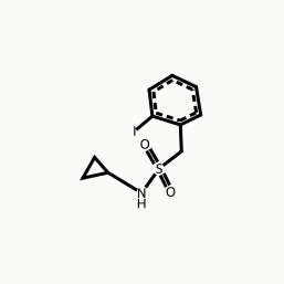 O=S(=O)(Cc1ccccc1I)NC1CC1